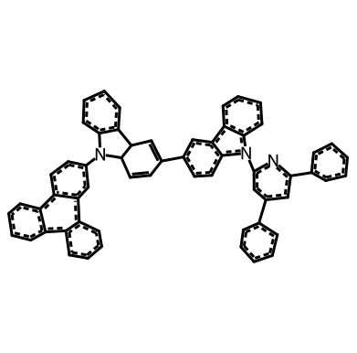 C1=CC2C(C=C1c1ccc3c(c1)c1ccccc1n3-c1cc(-c3ccccc3)cc(-c3ccccc3)n1)c1ccccc1N2c1ccc2c3ccccc3c3ccccc3c2c1